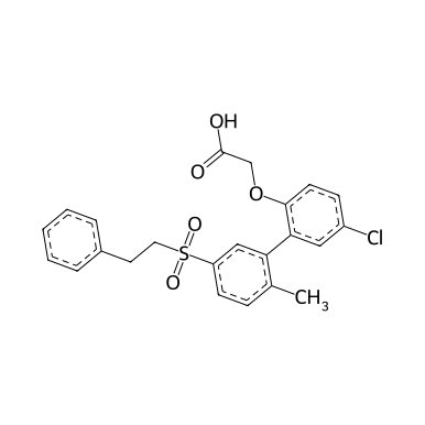 Cc1ccc(S(=O)(=O)CCc2ccccc2)cc1-c1cc(Cl)ccc1OCC(=O)O